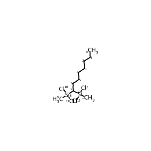 CCCCCCCC([Si](C)(Cl)Cl)[Si](C)(Cl)Cl